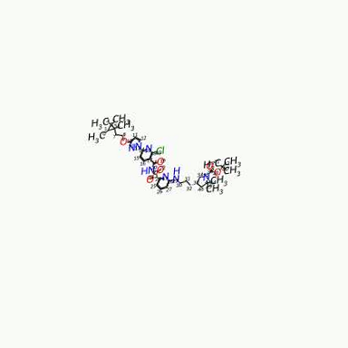 CC1C(C)(C)C1(C)CCOc1ccn(-c2ccc(C(=O)NS(=O)(=O)c3cccc(NCCC[C@@H]4CN(C(=O)OC(C)(C)C)C(C)(C)C4)n3)c(Cl)n2)n1